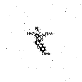 COCCO[C@@H]1[C@H](N=[N+]=[N-])[C@@H](CO)O[C@H]1n1ccc(=O)n(Cc2ccc(OC)cc2)c1=O